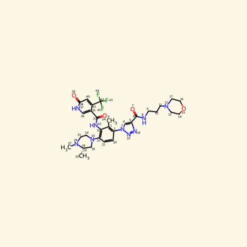 Cc1c(-n2cc(C(=O)NCCCN3CCOCC3)nn2)ccc(N2CCN(C)[C@@H](C)C2)c1NC(=O)c1c[nH]c(=O)cc1C(F)(F)F